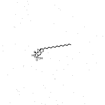 CCCCCCCCCCCCCCn1cc[n+](CC(P(=O)([O-])O)P(=O)(O)O)c1